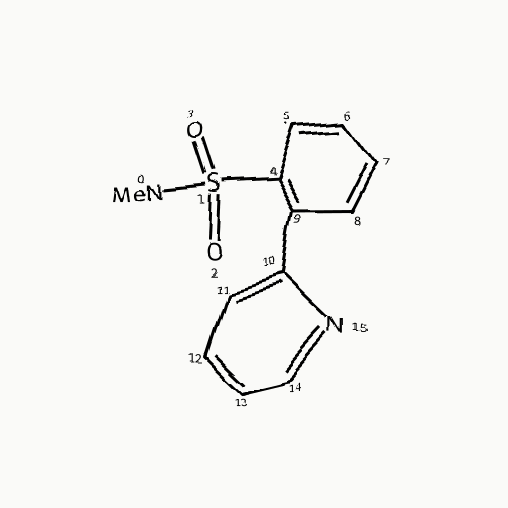 CNS(=O)(=O)c1[c]cccc1-c1ccccn1